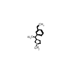 C=Cc1cccc(C(C)C2CCN(C)C2)c1